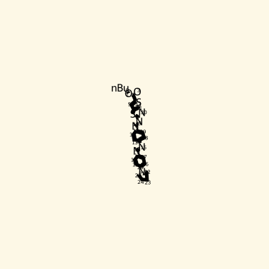 CCCCOC(=O)c1cc2sc(N=Nc3ccc(N=Nc4ccc(N5CCCC5)cc4)cc3)nc2s1